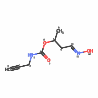 C#CCNC(=O)OC(C)CC=NO